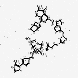 Cc1ncsc1-c1ccc(CNC(=O)[C@H]2C[C@H](O)CN2C(=O)[C@H](NC(=O)CCOc2cn(CC3CC[C@@]4(COc5cc6c(F)c(C)ncc6c(N6CC7CCC(C6)N7)n5)CCCN34)nn2)C(C)(C)C)cc1